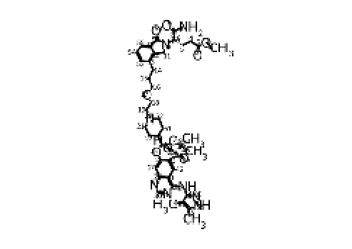 COC(=O)CC[C@@H](C(N)=O)N1Cc2c(CCCOCCN3CCC(COc4cc5ncnc(Nc6n[nH]c(C)c6C)c5cc4S(=O)(=O)C(C)(C)C)CC3)cccc2C1=O